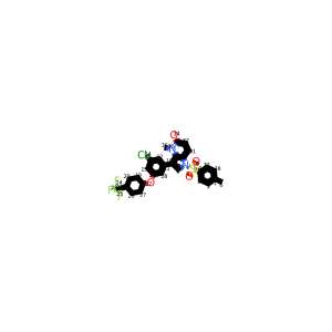 Cc1ccc(S(=O)(=O)n2cc(-c3cc(Cl)cc(OC4CCC(C(F)(F)F)CC4)c3)c3c2ccc(=O)n3C)cc1